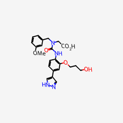 COc1cccc(CN(CC(=O)O)C(=O)Nc2ccc(-c3cn[nH]c3)cc2OCCCO)c1